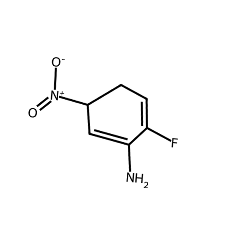 NC1=CC([N+](=O)[O-])CC=C1F